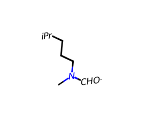 CC(C)CCCN(C)[C]=O